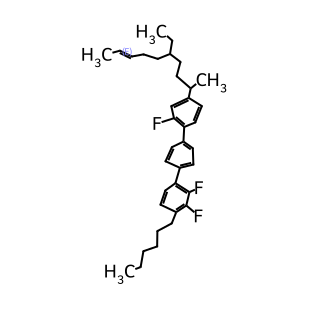 C/C=C/CCC(CC)CCC(C)c1ccc(-c2ccc(-c3ccc(CCCCCC)c(F)c3F)cc2)c(F)c1